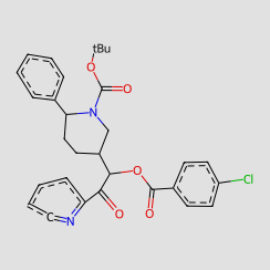 CC(C)(C)OC(=O)N1CC(C(OC(=O)c2ccc(Cl)cc2)C(=O)c2ccccn2)CCC1c1ccccc1